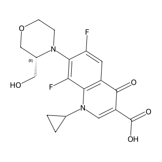 O=C(O)c1cn(C2CC2)c2c(F)c(N3CCOC[C@H]3CO)c(F)cc2c1=O